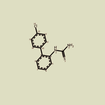 NC(=S)Nc1ccccc1-c1ccc(Cl)cc1